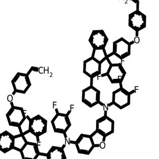 C=CC1=CCC(OC2=CC=C(C3(c4c(F)cccc4F)c4ccccc4C4C=CC(c5cccc(N(C6=CCC(F)C(F)=C6)C6=CC7C8=C(CCC(N(C9=CC(C%10=CC%11C(CC%10)c%10ccccc%10C%11(C%10=CCC(Oc%11ccc(C=C)cc%11)C=C%10)C%10C(F)=CC=CC%10F)CC=C9)C9CCC(F)=C(F)C9)=C8)OC7C=C6)c5)=CC43)CC2)C=C1